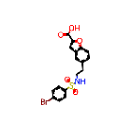 O=C(O)c1cc2cc(CCNS(=O)(=O)c3ccc(Br)cc3)ccc2o1